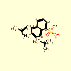 C=C(C)C.C=C(C)C.O=S(=O)(O)c1cccc2ccccc12